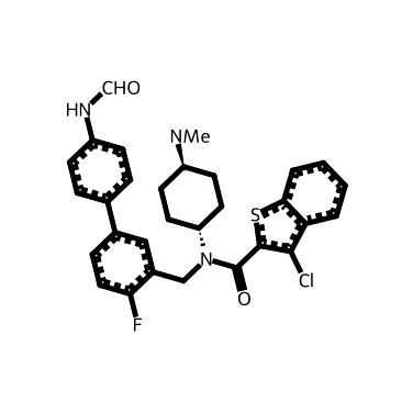 CN[C@H]1CC[C@H](N(Cc2cc(-c3ccc(NC=O)cc3)ccc2F)C(=O)c2sc3ccccc3c2Cl)CC1